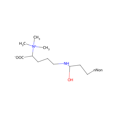 CCCCCCCCCCCC(O)NCCCC(C(=O)[O-])[N+](C)(C)C